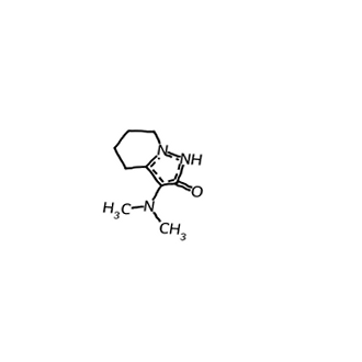 CN(C)c1c2n([nH]c1=O)CCCC2